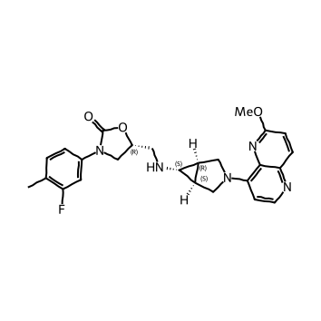 COc1ccc2nccc(N3C[C@@H]4[C@H](C3)[C@H]4NC[C@@H]3CN(c4ccc(C)c(F)c4)C(=O)O3)c2n1